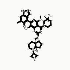 COc1nc(-c2c(Cl)c(C)cc3[nH]ncc23)c(F)c2nc(OC[C@]34CCC[C@H]3N(C3COC3)CCC4)nc(N3CCC[C@@](C)(O)C3)c12